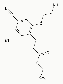 CCOC(=O)CCc1ccc(C#N)cc1OCCN.Cl